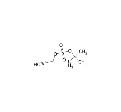 C#CCOS(=O)(=O)O[Si](C)(C)C